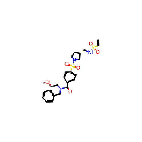 C=CS(=O)(=O)NC[C@H]1CCN(S(=O)(=O)c2ccc(C(=O)N(CCOC)Cc3ccccc3)cc2)C1